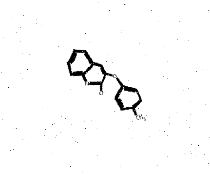 Cc1ccc(Oc2cc3ccccc3nc2[O])cc1